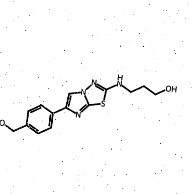 OCCCNc1nn2cc(-c3ccc(CO)cc3)nc2s1